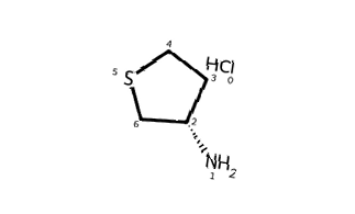 Cl.N[C@H]1CCSC1